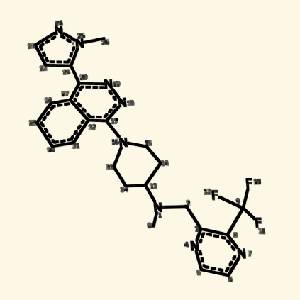 CN(Cc1nccnc1C(F)(F)F)C1CCN(c2nnc(-c3ccnn3C)c3ccccc23)CC1